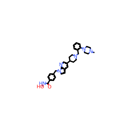 CN1CCN(c2ccccc2CN2CCC(c3cnc4c(ccn4Cc4ccc(C(=O)NO)cc4)c3)CC2)CC1